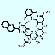 COC(=O)CC(NC(=O)C(C)NC(=O)[C@@H](NC(=O)[C@H](CC(=O)OC)NC(=O)[C@@H](NC(=O)c1ccc2ccccc2n1)C(C)C)C(C)C)C(=O)COc1c(F)cccc1F